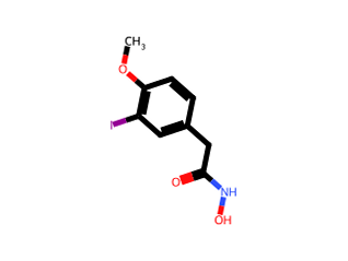 COc1ccc(CC(=O)NO)cc1I